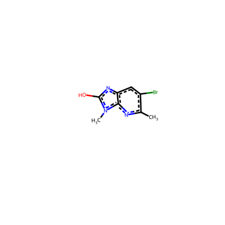 Cc1nc2c(cc1Br)nc(O)n2C